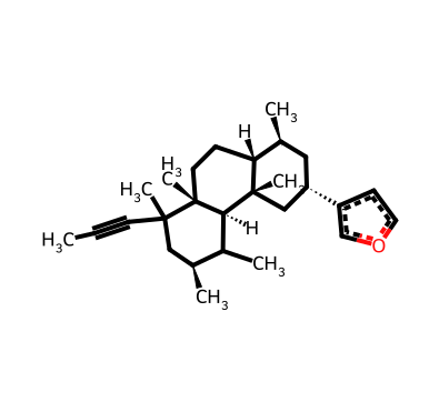 CC#CC1(C)C[C@H](C)C(C)[C@@H]2[C@@]3(C)C[C@@H](c4ccoc4)C[C@H](C)[C@H]3CC[C@]21C